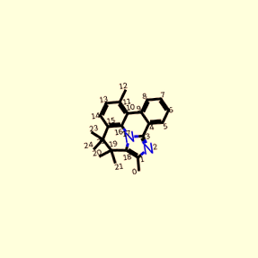 Cc1nc2c3ccccc3c3c(C)ccc4c3n2c1C(C)(C)C4(C)C